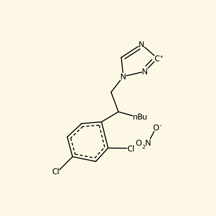 CCCCC(CN1C=N[C+]=N1)c1ccc(Cl)cc1Cl.O=[N+]([O-])[O-]